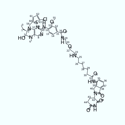 CC[C@@H]1C(O)N(C)c2cnc(Nc3ccc(C(=O)NCCOCCNCCCCCCC(=O)Nc4cccc5c4CN(C4CCC(=O)NC4=O)C5=O)cc3OC)nc2N1Cc1ccc(Cl)s1